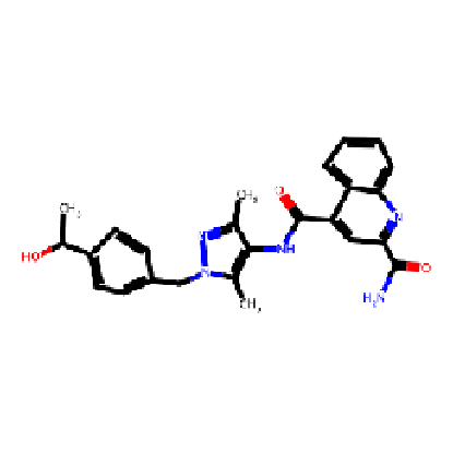 Cc1nn(Cc2ccc(C(C)O)cc2)c(C)c1NC(=O)c1cc(C(N)=O)nc2ccccc12